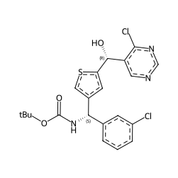 CC(C)(C)OC(=O)N[C@@H](c1cccc(Cl)c1)c1csc([C@H](O)c2cncnc2Cl)c1